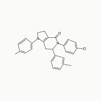 Cc1ccc(N2CCC3=C2CC(c2cccc(C)c2)N(c2ccc(Cl)cc2)C3=O)cc1